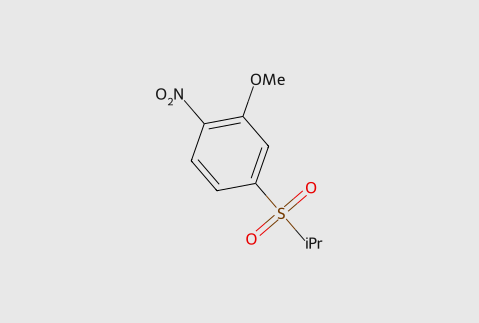 COc1cc(S(=O)(=O)C(C)C)ccc1[N+](=O)[O-]